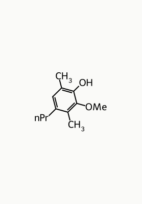 CCCc1cc(C)c(O)c(OC)c1C